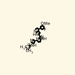 COc1cc(F)cc(-c2ccnc3[nH]c(-c4n[nH]c5ccc(-c6cncc(NC(=O)CN(C)C)c6)nc45)cc23)c1